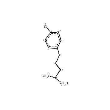 O=C(O)C(CCCc1ccc(Cl)cc1)C(=O)O